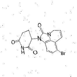 O=C1CCC(n2c(=O)n3c4c(c(Br)ccc42)C=CC3)C(=O)N1